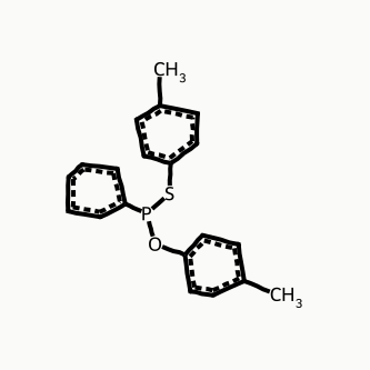 Cc1ccc(OP(Sc2ccc(C)cc2)c2ccccc2)cc1